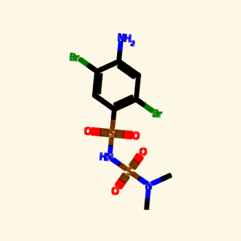 CN(C)S(=O)(=O)NS(=O)(=O)c1cc(Br)c(N)cc1Br